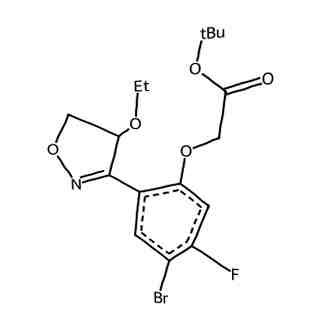 CCOC1CON=C1c1cc(Br)c(F)cc1OCC(=O)OC(C)(C)C